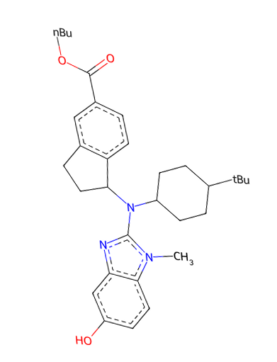 CCCCOC(=O)c1ccc2c(c1)CCC2N(c1nc2cc(O)ccc2n1C)C1CCC(C(C)(C)C)CC1